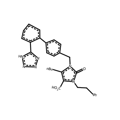 CCCCc1c(C(=O)O)n(CCC(C)C)c(=O)n1Cc1ccc(-c2ccccc2-c2nnn[nH]2)cc1